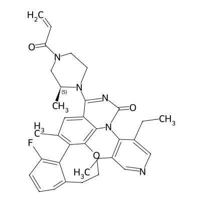 C=CC(=O)N1CCN(c2nc(=O)n(-c3c(CC)cncc3CC)c3c4c(c(C)cc23)-c2c(F)cccc2CCO4)[C@@H](C)C1